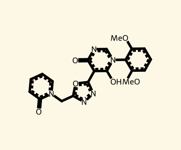 COc1cccc(OC)c1-n1cnc(=O)c(-c2nnc(Cn3ccccc3=O)o2)c1O